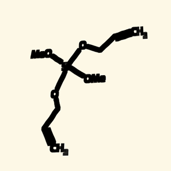 C=CCO[Si](OC)(OC)OCC=C